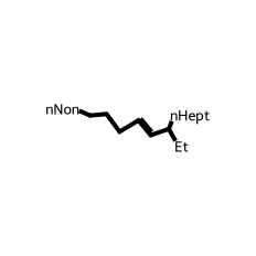 [CH2]CC(C=CCCCCCCCCCCCC)CCCCCCC